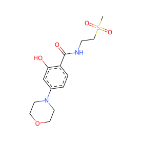 CS(=O)(=O)CCNC(=O)c1ccc(N2CCOCC2)cc1O